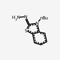 CCCCn1/c(=N/N)sc2ccccc21